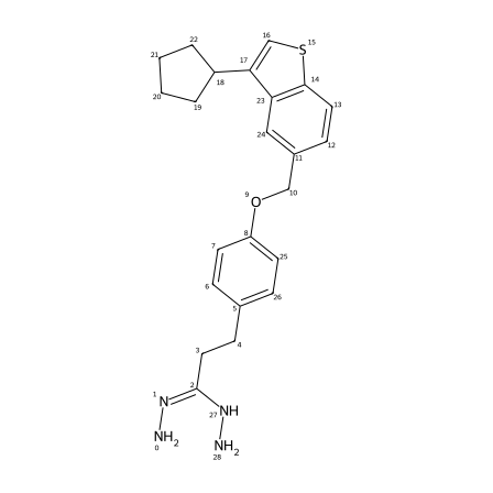 N/N=C(/CCc1ccc(OCc2ccc3scc(C4CCCC4)c3c2)cc1)NN